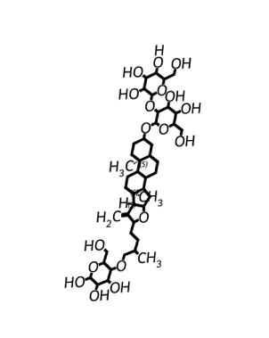 C=C1C(CCC(C)COC2C(CO)OC(O)C(O)C2O)OC2CC3C4CCC5CC(OC6OC(CO)C(O)C(O)C6OC6OC(CO)C(O)C(O)C6O)CC[C@]5(C)C4CC[C@]3(C)[C@@H]12